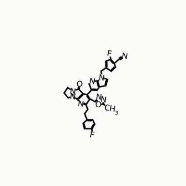 Cc1nnc(-c2c(CCc3ccc(F)cc3)nc3c(c2-c2cnc4c(ccn4Cc4ccc(C#N)c(F)c4)c2)c(=O)n2n3CCC2)o1